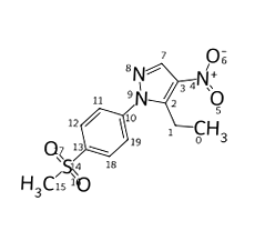 CCc1c([N+](=O)[O-])cnn1-c1ccc(S(C)(=O)=O)cc1